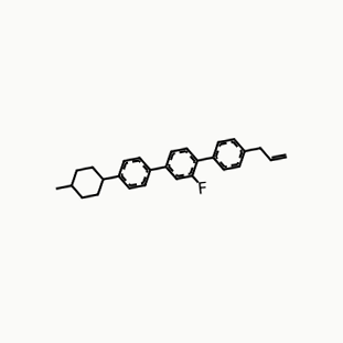 C=CCc1ccc(-c2ccc(-c3ccc(C4CCC(C)CC4)cc3)cc2F)cc1